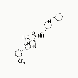 Cc1c(C(=O)NCCC2CCN(CC3CCCCC3)CC2)cnc2cc(-c3cccc(C(F)(F)F)c3)nn12